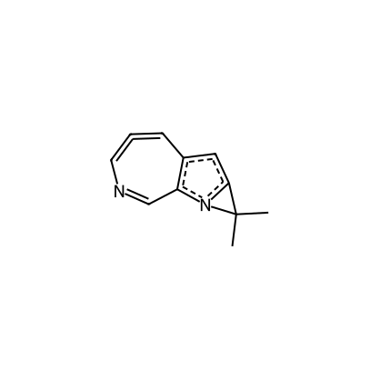 CC1(C)c2cc3c(n21)C=NC=C=C3